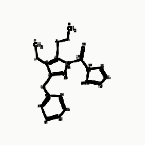 CCCc1c(CC)c(Cc2ccccc2)nn1C(=O)n1cccn1